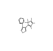 CC1=C(C)C(C)(C)C(C2=CC[C]=C2c2ccccc2)=C1C